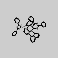 c1ccc(-c2nc(-c3ccccc3)nc(N3c4cccc5cccc(c45)-c4ccc5c(c43)c3ccccc3n5-c3nc(-c4ccccc4)nc(-c4ccccc4)n3)n2)cc1